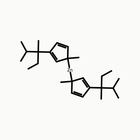 CCC(C)(C1=C[C](C)([Zn][C]2(C)C=CC(C(C)(CC)C(C)C)=C2)C=C1)C(C)C